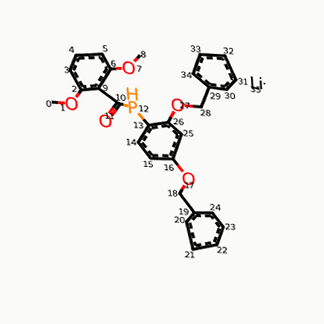 COc1cccc(OC)c1C(=O)Pc1ccc(OCc2ccccc2)cc1OCc1ccccc1.[Li]